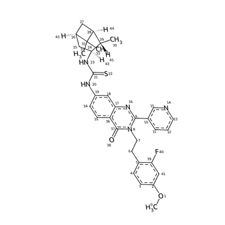 COc1ccc(CCn2c(-c3cccnc3)nc3cc(NC(=S)N[C@H]4C[C@H]5C[C@@H]([C@@H]4C)C5(C)C)ccc3c2=O)c(F)c1